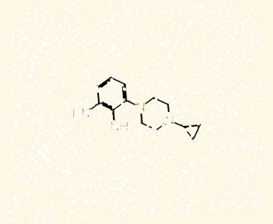 Nc1cccc(N2CCN(C3CC3)CC2)c1N